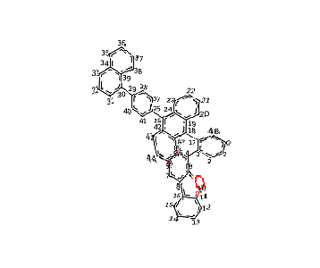 c1ccc(-c2cccc3c2oc2ccccc23)c(-c2c3ccccc3c(-c3ccc(-c4cccc5ccccc45)cc3)c3ccccc23)c1